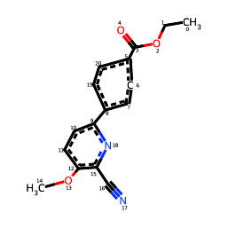 CCOC(=O)c1ccc(-c2ccc(OC)c(C#N)n2)cc1